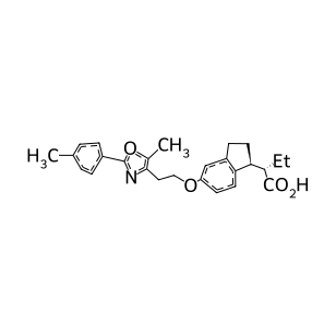 CC[C@H](C(=O)O)[C@@H]1CCc2cc(OCCc3nc(-c4ccc(C)cc4)oc3C)ccc21